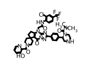 CN(C)C(=O)N1CCNCC1c1ccc(-c2nc3n(CC(=O)Nc4ccc(C(F)(F)F)cc4Cl)c4c(c(=O)n3n2)C2(CC4)CCN(C(=O)c3ncccc3O)CC2)cc1